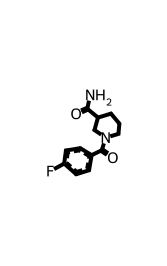 NC(=O)C1CCCN(C(=O)c2ccc(F)cc2)C1